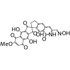 COC1=CC(=O)c2c(O)c3c(c(O)c2C1=O)C(=O)C1(CCc2cc4cc(/C=N/O)[nH]c(=O)c4c(O)c21)C3=O